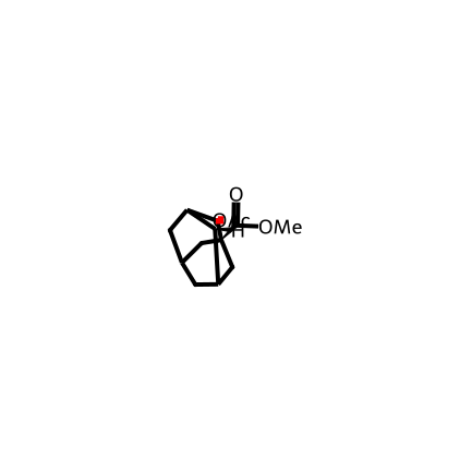 COC(=O)[C@]12CC3CC(C1)[C@@H](OC(C)=O)C(C3)C2